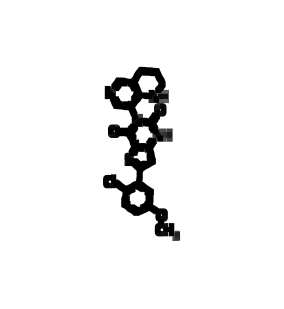 COc1ccc(Cl)c(-c2cc3[nH]c(=O)n(-c4cncc5c4NCC=C5)c(=O)c3s2)c1